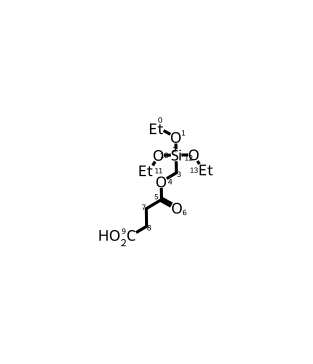 CCO[Si](COC(=O)CCC(=O)O)(OCC)OCC